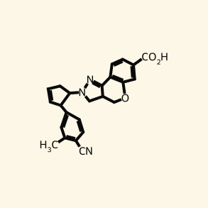 Cc1cc(C2C=CCC2N2CC3COc4cc(C(=O)O)ccc4C3=N2)ccc1C#N